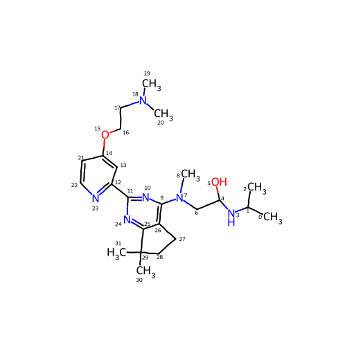 CC(C)NC(O)CN(C)c1nc(-c2cc(OCCN(C)C)ccn2)nc2c1CCC2(C)C